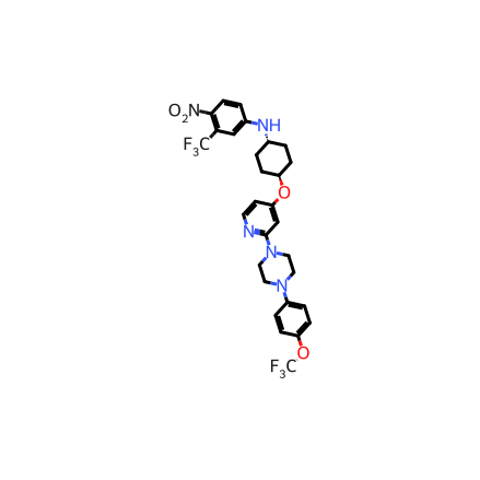 O=[N+]([O-])c1ccc(N[C@H]2CC[C@H](Oc3ccnc(N4CCN(c5ccc(OC(F)(F)F)cc5)CC4)c3)CC2)cc1C(F)(F)F